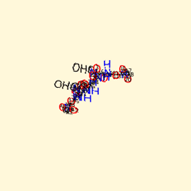 O=CNC(=O)C(CC(=O)NCCOCCN1C(=O)C=CC1=O)NC(=O)CCCC(=O)NC(CC(=O)NCCOCCN1C(=O)C=CC1=O)C(=O)NC=O